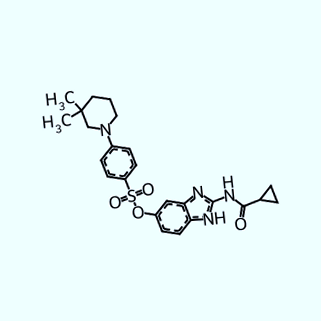 CC1(C)CCCN(c2ccc(S(=O)(=O)Oc3ccc4[nH]c(NC(=O)C5CC5)nc4c3)cc2)C1